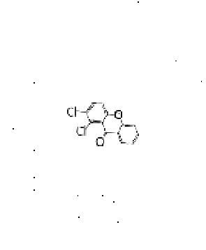 O=c1c2ccccc2oc2ccc(Cl)c(Cl)c12